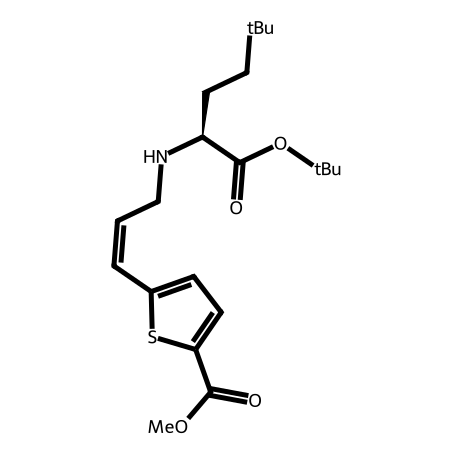 COC(=O)c1ccc(/C=C\CN[C@@H](CCC(C)(C)C)C(=O)OC(C)(C)C)s1